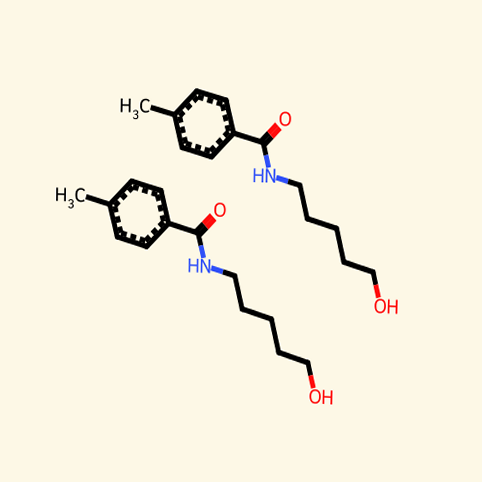 Cc1ccc(C(=O)NCCCCCO)cc1.Cc1ccc(C(=O)NCCCCCO)cc1